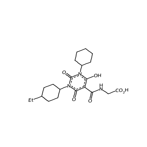 CCC1CCC(n2c(=O)c(C(=O)NCC(=O)O)c(O)n(C3CCCCC3)c2=O)CC1